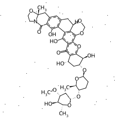 CO[C@@H]1C[C@H](O[C@H]2CC[C@H](O[C@@H]3C[C@H](O)c4c(oc5c6c7c(c(O)c5c4=O)-c4c(cc5c(c4O)C(=O)N4CCO[C@]4(C)C5)C[C@H]7OCO6)[C@H]3O)O[C@@H]2C)O[C@H](C)[C@H]1O